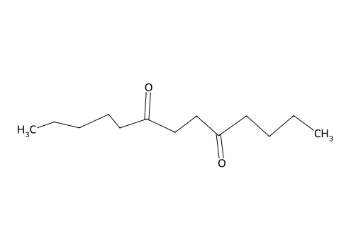 CCCCCC(=O)CCC(=O)CCCC